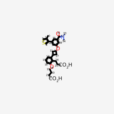 Cc1cscc1-c1cc(OC2CC(c3cccc(OCCCC(=O)O)c3CCC(=O)O)C2)cc(C(=O)N(C)C)c1